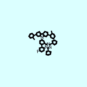 Cc1ccccc1-c1ccc2c3ccc(-c4ccccc4C)cc3n(-c3ccc(-c4cccc(F)c4)c(-c4nc(-c5ccccc5)nc(-c5ccccc5)n4)c3)c2c1